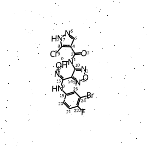 CN(C(=O)c1cn[nH]c1Cl)c1nonc1/C(=N\O)Nc1ccc(F)c(Br)c1